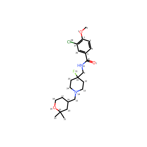 COc1ccc(C(=O)NCC2(F)CCN(CC3CCOC(C)(C)C3)CC2)cc1Cl